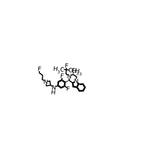 C[C@@H]1Cn2c(cc3ccccc32)[C@@H](c2c(F)cc(NC3CN(CCCF)C3)cc2F)N1CC(C)(C)F